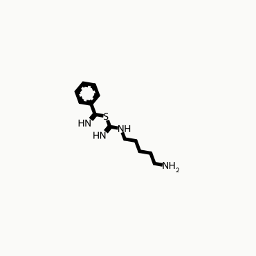 N=C(NCCCCCN)SC(=N)c1ccccc1